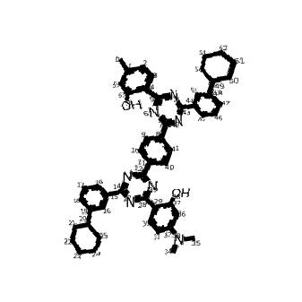 Cc1ccc(-c2nc(-c3ccc(-c4nc(-c5cccc(C6CCCCC6)c5)nc(-c5ccc(N(C)C)cc5O)n4)cc3)nc(-c3cccc(C4CCCCC4)c3)n2)c(O)c1